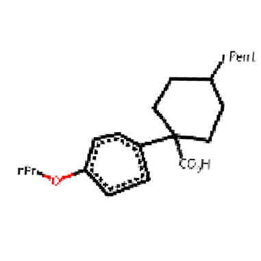 CCCCCC1CCC(C(=O)O)(c2ccc(OCCC)cc2)CC1